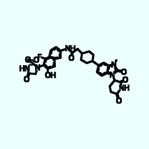 Cn1c(=O)n(C2CCC(=O)NC2=O)c2ccc(C3CCC(CC(=O)Nc4ccc5c(F)c(N6CC(=O)NS6(=O)=O)c(O)cc5c4)CC3)cc21